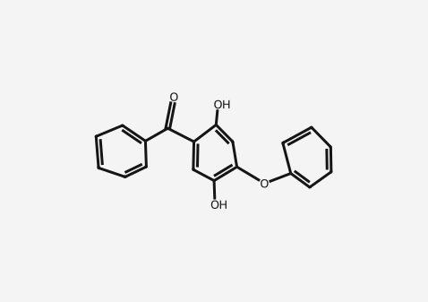 O=C(c1ccccc1)c1cc(O)c(Oc2ccccc2)cc1O